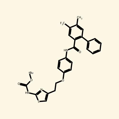 Cc1cc(-c2ccccc2)c(C(=O)Nc2ccc(OCCc3csc(NC(=O)OC(C)(C)C)n3)cc2)cc1C(F)(F)F